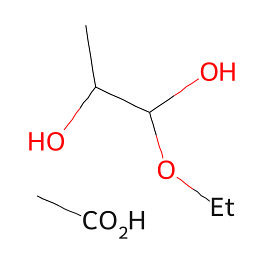 CC(=O)O.CCOC(O)C(C)O